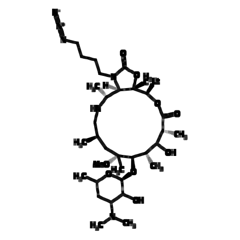 CC[C@H]1OC(=O)[C@H](C)C(O)[C@H](C)[C@@H](O[C@@H]2OC(C)CC(N(C)C)C2O)[C@](C)(OC)C[C@@H](C)CN[C@H](C)[C@H]2N(CCCCN=[N+]=[N-])C(=O)O[C@]12C